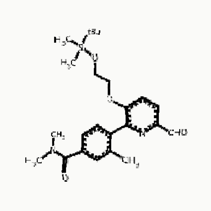 Cc1cc(C(=O)N(C)C)ccc1-c1nc(C=O)ccc1OCCO[Si](C)(C)C(C)(C)C